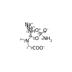 CN(CC(=O)[O-])C(=N)OP(N)(=O)[O-].[Na+].[Na+]